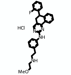 COCCNCCc1cccc(Nc2ncc3c(n2)-c2ccccc2C(c2ccccc2F)C3)c1.Cl